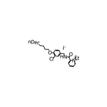 CCCCCCCCCCCCCCOc1ccc(CNC(=O)c2cccc[n+]2CC)cc1Cl.[I-]